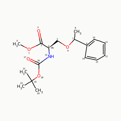 COC(=O)[C@@H](COC(C)c1ccccc1)NC(=O)OC(C)(C)C